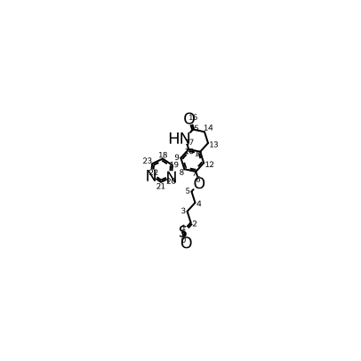 O=S=CCCCOc1ccc2c(c1)CCC(=O)N2.c1cncnc1